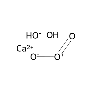 O=[O+][O-].[Ca+2].[OH-].[OH-]